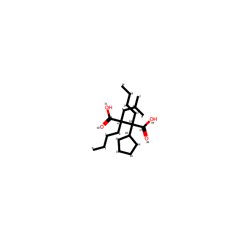 CCCCC(CC(C)C)(C(=O)O)C(CCCC)(C(=O)O)C1CCCC1